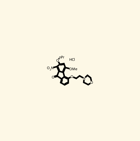 CCCOc1cc(OC)c2c(c1[N+](=O)[O-])C(=O)c1cccc(OCCN3CCOCC3)c1-2.Cl